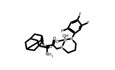 NC(=O)C12CC3CC(C1)C(NC(=O)CN1CCCN(c4cc(F)c(F)cc4F)S1(O)O)C(C3)C2